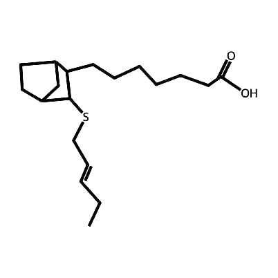 CC/C=C/CSC1C2CCC(C2)C1CCCCCCC(=O)O